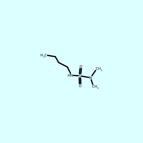 CCCCNS(=O)(=O)N(C)C